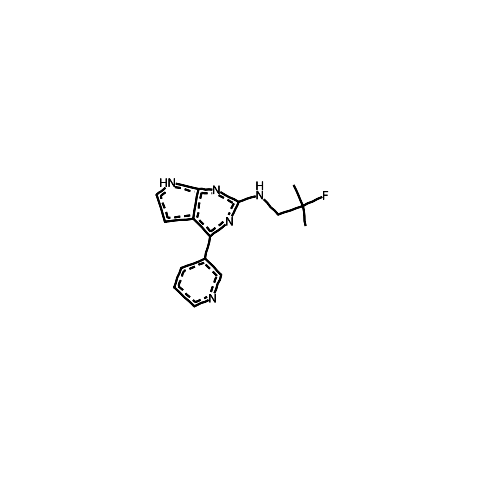 CC(C)(F)CNc1nc(-c2cccnc2)c2cc[nH]c2n1